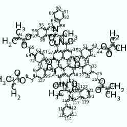 C=C(C)C(=O)OCCc1ccc(Oc2cc3c4c(cc(Oc5ccc(CCOC(=O)C(=C)C)cc5)c5c6c(Oc7ccc(CCOC(=O)C(=C)C)cc7)cc7c8c(cc(Oc9ccc(CCOC(=O)C(=C)C)cc9)c(c2c45)c86)C(=O)N(C(C)C(=O)N(Cc2ccccc2)Cc2ccccc2)C7=O)C(=O)N(C(C)C(=O)N(Cc2ccccc2)Cc2ccccc2)C3=O)cc1